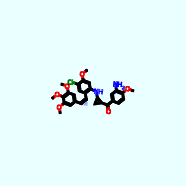 COc1ccc(C(=O)C2CC2Nc2cc(OC)c(Cl)cc2/C=C\c2cc(OC)c(OC)c(OC)c2)cc1N